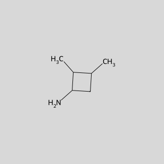 CC1CC(N)C1C